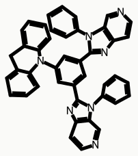 c1ccc(-n2c(-c3cc(-c4nc5ccncc5n4-c4ccccc4)cc(N4c5ccccc5Cc5ccccc54)c3)nc3ccncc32)cc1